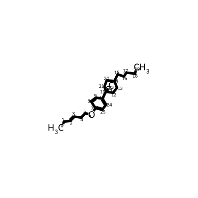 CCC=CCCOc1ccc(C23CCC(CCCCC)(CC2)CC3)cc1